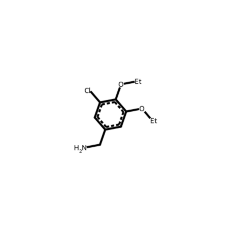 CCOc1cc(CN)cc(Cl)c1OCC